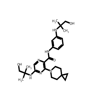 CC(C)(CO)Nc1cccc(NC(=O)c2ncc(NC(C)(C)CO)nc2N2CCC3(CC2)CC3)c1